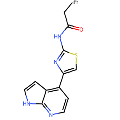 CC(C)CC(=O)Nc1nc(-c2ccnc3[nH]ccc23)cs1